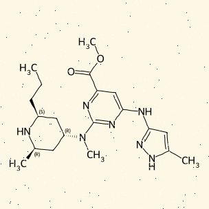 CCC[C@H]1C[C@H](N(C)c2nc(Nc3cc(C)[nH]n3)cc(C(=O)OC)n2)C[C@@H](C)N1